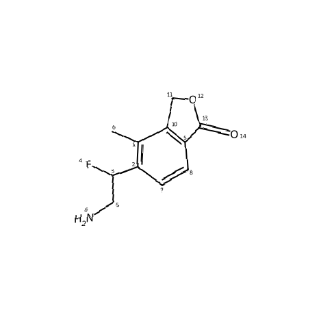 Cc1c(C(F)CN)ccc2c1COC2=O